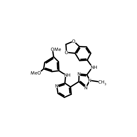 COc1cc(Nc2ncccc2-c2nc(Nc3ccc4c(c3)OCO4)n(C)n2)cc(OC)c1